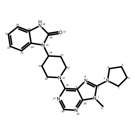 Cn1c(N2CCCC2)nc2c(N3CCC(n4c(=O)[nH]c5ccccc54)CC3)ncnc21